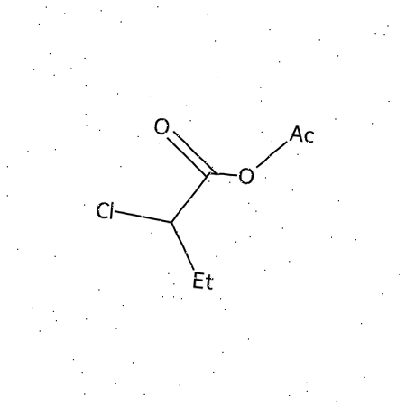 CCC(Cl)C(=O)OC(C)=O